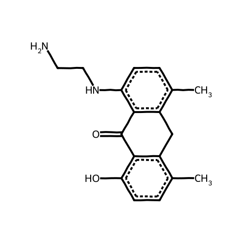 Cc1ccc(O)c2c1Cc1c(C)ccc(NCCN)c1C2=O